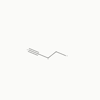 [C]#C[CH]C[CH2]